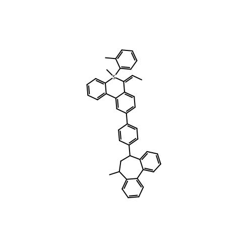 C/C=C1\c2ccc(-c3ccc(C4CC(C)c5ccccc5-c5ccccc54)cc3)cc2-c2ccccc2S1(C)c1ccccc1C